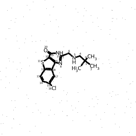 CC(C)(C)CNCc1nc2c(sc3ccc(Cl)cc32)c(=O)[nH]1